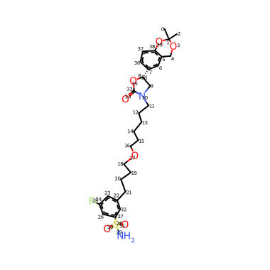 CC1(C)OCc2cc([C@@H]3CN(CCCCCCOCCCCc4cc(F)cc(S(N)(=O)=O)c4)C(=O)O3)ccc2O1